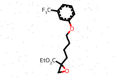 CCOC(=O)C1(CCCCOc2cccc(C(F)(F)F)c2)CO1